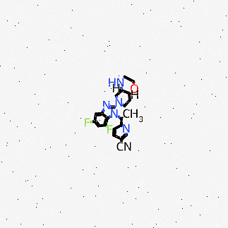 C[C@H](c1ccc(C#N)cn1)n1c(N2CC[C@H]3OCCN[C@@H]3C2)nc2cc(F)cc(F)c21